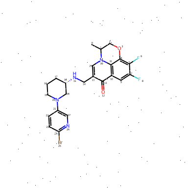 CC1COc2c(F)c(F)cc3c(=O)c(CN[C@H]4CCCN(c5ccc(Br)nc5)C4)cn1c23